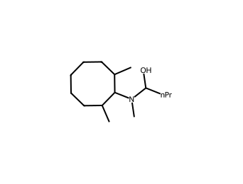 CCCC(O)N(C)C1C(C)CCCCCC1C